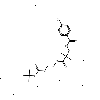 CC(C)(C)OC(=O)NCCOC(=O)C(C)(C)ONC(=O)c1ccc(Cl)cc1